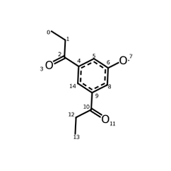 CCC(=O)c1cc([O])cc(C(=O)CC)c1